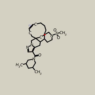 CC1CC(C)CN(C(=O)c2cnn3c2CC(C2CCN(S(C)(=O)=O)CC2)C2(CC/C=C\CCCCCC2)C3)C1